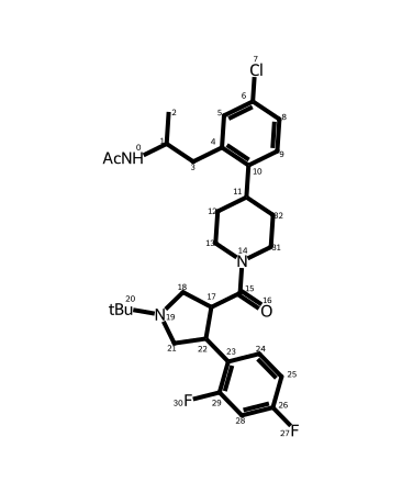 CC(=O)NC(C)Cc1cc(Cl)ccc1C1CCN(C(=O)C2CN(C(C)(C)C)CC2c2ccc(F)cc2F)CC1